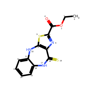 CCOC(=O)c1nc2c(s1)Nc1ccccc1NC2=S